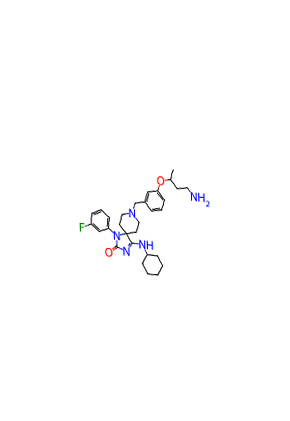 CC(CCN)Oc1cccc(CN2CCC3(CC2)C(NC2CCCCC2)=NC(=O)N3c2cccc(F)c2)c1